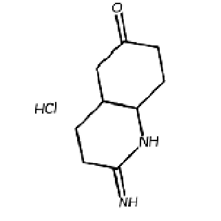 Cl.N=C1CCC2CC(=O)CCC2N1